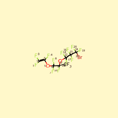 FC(F)=C(F)OC(F)(F)C(F)(OC(F)(F)C(F)(F)C(F)(F)Br)C(F)(F)F